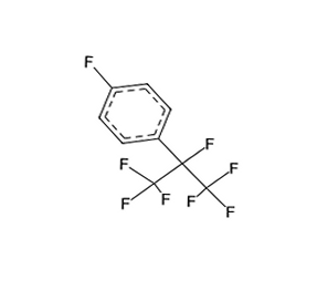 Fc1ccc(C(F)(C(F)(F)F)C(F)(F)F)cc1